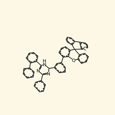 c1ccc(C2=NC(c3cccc(-c4cccc5c4Oc4ccccc4C54c5ccccc5-c5ccccc54)c3)NC(c3ccccc3-c3ccccc3)=N2)cc1